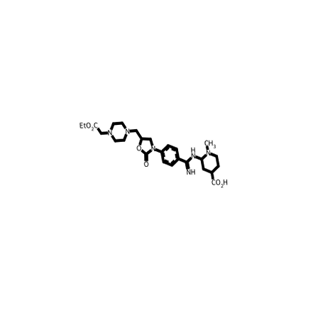 CCOC(=O)CN1CCN(CC2CN(c3ccc(C(=N)NC4CC(C(=O)O)CCN4C)cc3)C(=O)O2)CC1